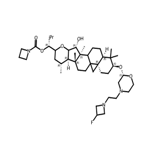 CC(C)[C@@H](OC(=O)N1CCC1)C1C[C@@H](C)[C@H]2C(O1)[C@H](O)[C@@]1(C)C3CC[C@H]4C(C)(C)[C@@H](O[C@H]5CN(CCN6CC(F)C6)CCO5)CC[C@@]45CC35CC[C@]21C